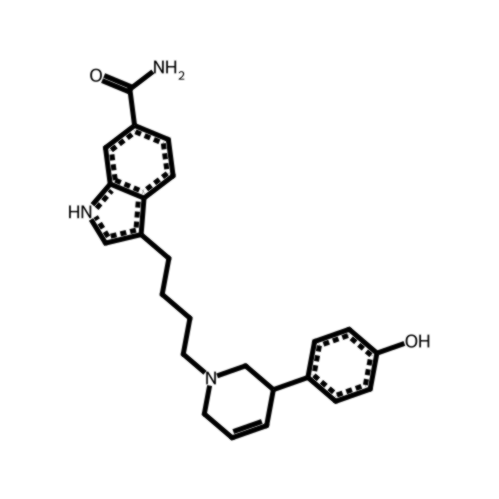 NC(=O)c1ccc2c(CCCCN3CC=CC(c4ccc(O)cc4)C3)c[nH]c2c1